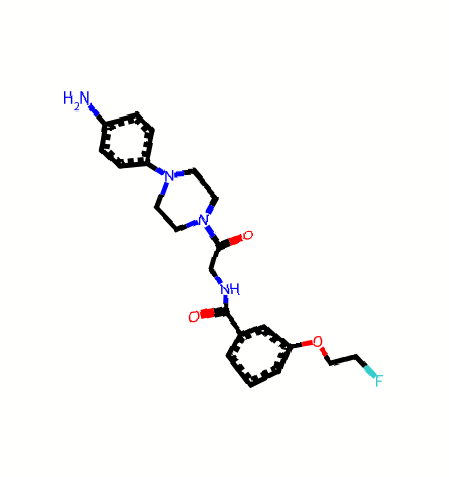 Nc1ccc(N2CCN(C(=O)CNC(=O)c3cccc(OCCF)c3)CC2)cc1